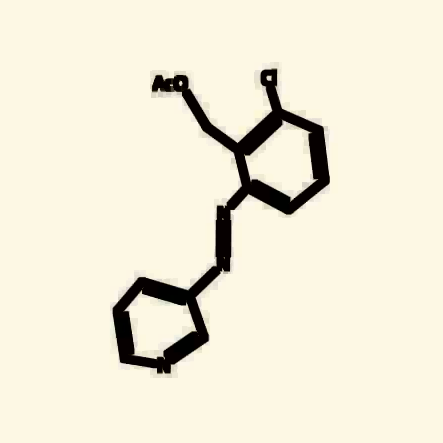 CC(=O)OCc1c(Cl)cccc1/N=N/c1cccnc1